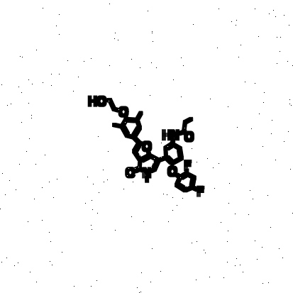 CCC(=O)Nc1ccc(Oc2ccc(F)cc2F)c(-c2cn(C)c(=O)c3cc(-c4cc(C)c(OCCO)c(C)c4)oc23)c1